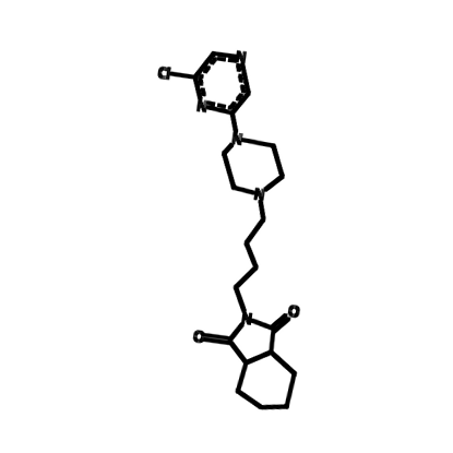 O=C1C2CCCCC2C(=O)N1CCCCN1CCN(c2cncc(Cl)n2)CC1